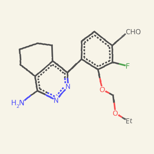 CCOCOc1c(-c2nnc(N)c3c2CCCC3)ccc(C=O)c1F